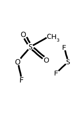 CS(=O)(=O)OF.FSF